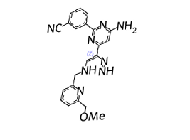 COCc1cccc(CN/C=C(\N=N)c2cc(N)nc(-c3cccc(C#N)c3)n2)n1